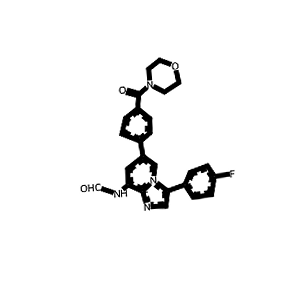 O=CNc1cc(-c2ccc(C(=O)N3CCOCC3)cc2)cn2c(-c3ccc(F)cc3)cnc12